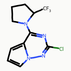 FC(F)(F)C1CCCN1c1nc(Cl)nn2cccc12